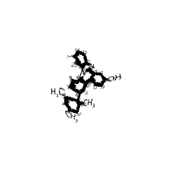 Cc1cc(C)c(-c2ccc3c(c2)c2ccc(O)cc2c2nc4ccccc4n32)c(C)c1